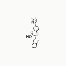 Cc1nc(-c2ccc(OC(CCc3ccccc3F)C(=O)O)cc2)cs1